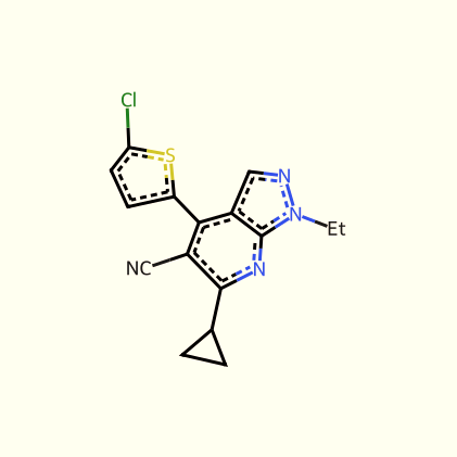 CCn1ncc2c(-c3ccc(Cl)s3)c(C#N)c(C3CC3)nc21